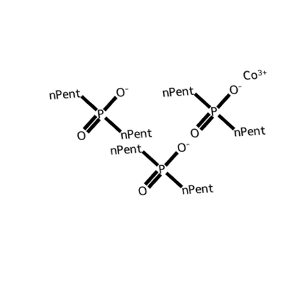 CCCCCP(=O)([O-])CCCCC.CCCCCP(=O)([O-])CCCCC.CCCCCP(=O)([O-])CCCCC.[Co+3]